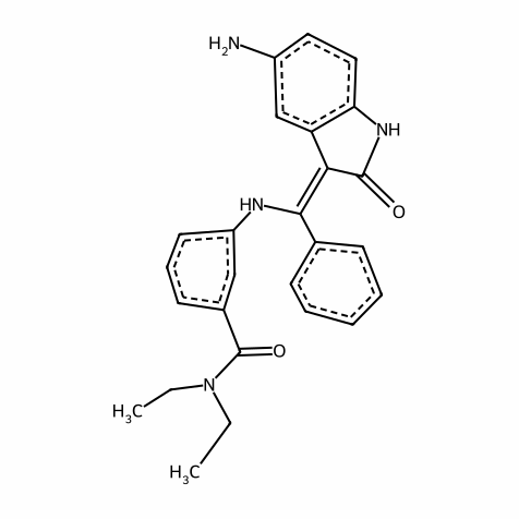 CCN(CC)C(=O)c1cccc(NC(=C2C(=O)Nc3ccc(N)cc32)c2ccccc2)c1